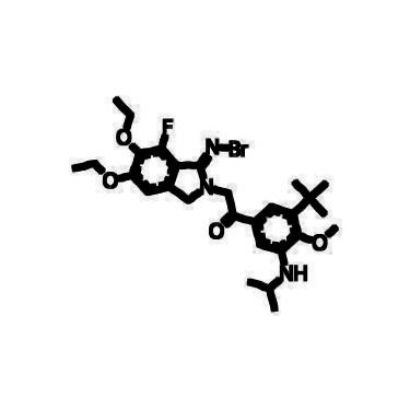 CCOc1cc2c(c(F)c1OCC)/C(=N/Br)N(CC(=O)c1cc(NC(C)C)c(OC)c(C(C)(C)C)c1)C2